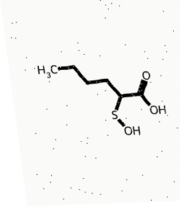 CCCCC(SO)C(=O)O